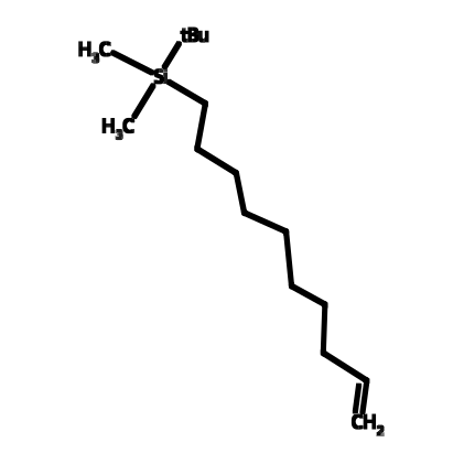 C=CCCCCCCCC[Si](C)(C)C(C)(C)C